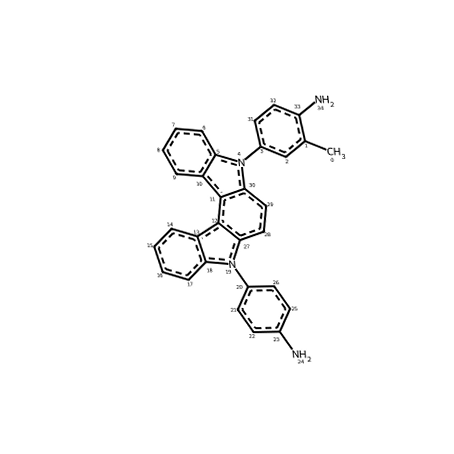 Cc1cc(-n2c3ccccc3c3c4c5ccccc5n(-c5ccc(N)cc5)c4ccc32)ccc1N